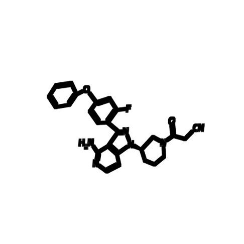 N#CCC(=O)N1CCC[C@@H](n2nc(-c3ccc(Oc4ccccc4)cc3F)c3c(N)nccc32)C1